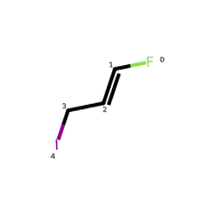 FC=CCI